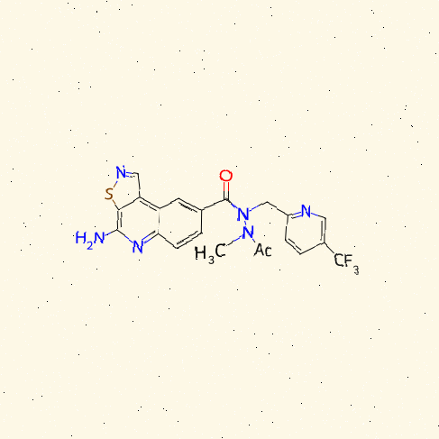 CC(=O)N(C)N(Cc1ccc(C(F)(F)F)cn1)C(=O)c1ccc2nc(N)c3sncc3c2c1